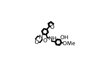 COc1ccc(CNC(=O)c2cc(-c3ccco3)ccc2N2CCOCC2)cc1O